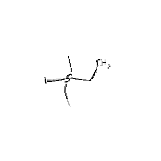 CCS(I)(I)I